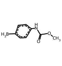 Bc1ccc(NC(=O)OC)cc1